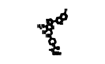 CON(C)C(=O)N1CCC(NCc2nc3c(-c4cnc5ccc(F)cc5c4)cnn3c(N)c2Br)CC1